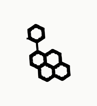 [c]1ccccc1-c1ccc2ccc3cccc4ccc1c2c34